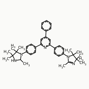 CC1=NC(C)(C)C(C)(C)N1c1ccc(-c2cc(-c3ccccc3)cc(-c3ccc(N4C(C)NC(C)(C)C4(C)C)cc3)n2)cc1